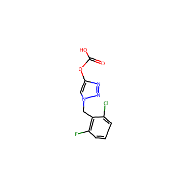 O=C(O)Oc1cn(Cc2c(F)cccc2Cl)nn1